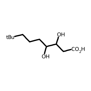 CC(C)(C)CCCC(O)C(O)CC(=O)O